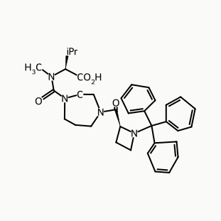 CC(C)[C@@H](C(=O)O)N(C)C(=O)N1CCCN(C(=O)[C@@H]2CCN2C(c2ccccc2)(c2ccccc2)c2ccccc2)CC1